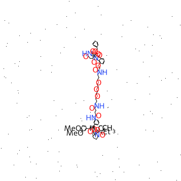 CCC(C)(C)C(=O)C(=O)N1CCCC[C@H]1C(=O)O[C@H](CCc1ccc(OC)c(OC)c1)c1cccc(NC(=O)CCC(=O)NCCCOCCOCCOCCCNC(=O)COc2cccc3c2C(=O)N([C@]2(C(=O)OCc4ccccc4)CCC(=O)NC2=O)C3=O)c1